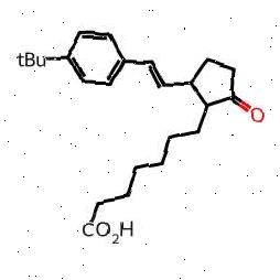 CC(C)(C)c1ccc(C=CC2CCC(=O)C2CCCCCCC(=O)O)cc1